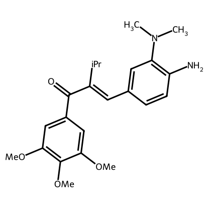 COc1cc(C(=O)C(=Cc2ccc(N)c(N(C)C)c2)C(C)C)cc(OC)c1OC